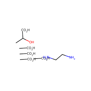 CC(=O)O.CC(=O)O.CC(=O)O.CC(=O)O.CC(O)C(=O)O.NCCN